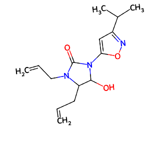 C=CCC1C(O)N(c2cc(C(C)C)no2)C(=O)N1CC=C